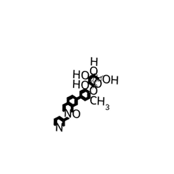 Cc1cc(-c2ccc3ccn(Cc4cccnc4)c(=O)c3c2)ccc1O[C@H]1O[C@@H](CO)[C@@H](O)[C@H](O)[C@H]1O